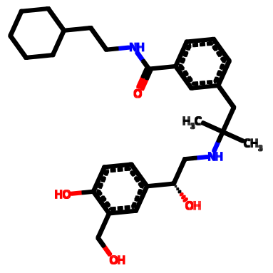 CC(C)(Cc1cccc(C(=O)NCCC2CCCCC2)c1)NC[C@H](O)c1ccc(O)c(CO)c1